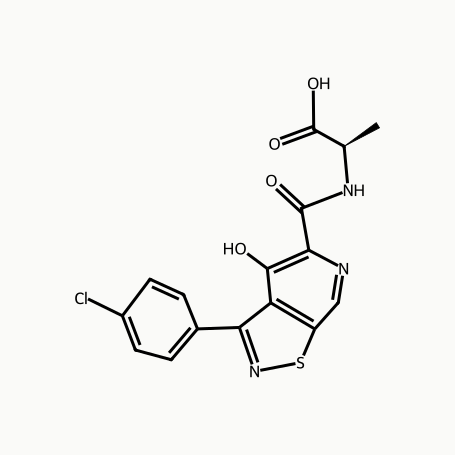 C[C@@H](NC(=O)c1ncc2snc(-c3ccc(Cl)cc3)c2c1O)C(=O)O